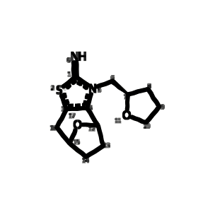 N=c1sc2c(n1C[C@H]1CCCO1)C1CCC(C2)O1